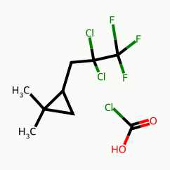 CC1(C)CC1CC(Cl)(Cl)C(F)(F)F.O=C(O)Cl